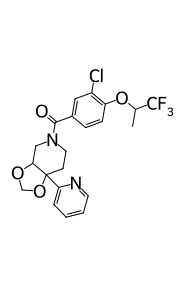 CC(Oc1ccc(C(=O)N2CCC3(c4ccccn4)OCOC3C2)cc1Cl)C(F)(F)F